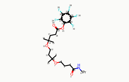 CC(C)NC(=O)CCCOC(C)(C)CCOC(C)(C)CCC(=O)Oc1c(F)c(F)c(F)c(F)c1F